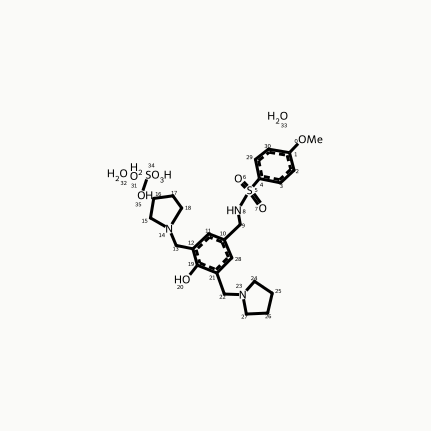 COc1ccc(S(=O)(=O)NCc2cc(CN3CCCC3)c(O)c(CN3CCCC3)c2)cc1.O.O.O.O=S(=O)(O)O